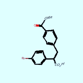 COC(=O)c1ccc(CC(C(=O)O)c2ccc(Br)cc2)cc1